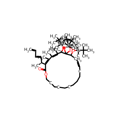 C=CC=C[C@H](C)C1=C(C)C(C)=C(C)[C@@](C)(O[Si](C)(C)C(C)(C)C)C(O[Si](C)(C)C(C)(C)C)(O[Si](C)(C)C(C)(C)C)C(O[Si](C)(C)C(C)(C)C)CC=CCCCCCCCCCCOC1=O